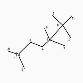 CN(C)CCC(C)(C)C(C)(C)C